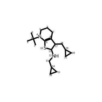 CC(C)(C)N1CCCC2=C1SC(NCC1CC1)C2CC1CC1